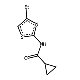 CCc1csc(NC(=O)C2CC2)n1